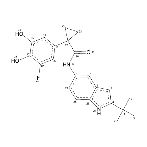 CC(C)(C)c1cc2cc(NC(=O)C3(c4cc(O)c(O)c(F)c4)CC3)ccc2[nH]1